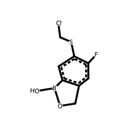 OB1OCc2cc(F)c(SCCl)cc21